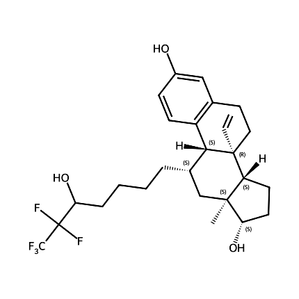 C=C[C@@]12CCc3cc(O)ccc3[C@H]1[C@@H](CCCCC(O)C(F)(F)C(F)(F)F)C[C@@]1(C)[C@H]2CC[C@@H]1O